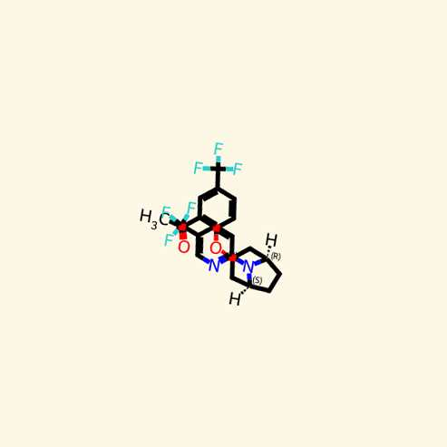 CC(=O)c1cc(C(F)(F)F)ccc1O[C@H]1C[C@H]2CC[C@@H](C1)N2c1ccc(C(F)(F)F)cn1